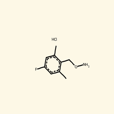 Cc1cc(F)cc(C)c1CON.Cl